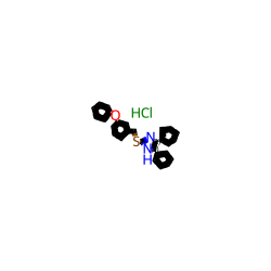 Cl.c1ccc(Oc2cccc(CSC3=N[C@H](c4ccccc4)[C@H](c4ccccc4)N3)c2)cc1